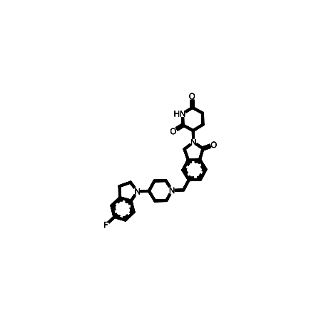 O=C1CCC(N2Cc3cc(CN4CCC(N5CCc6cc(F)ccc65)CC4)ccc3C2=O)C(=O)N1